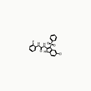 O=C(Nc1ccccc1F)Nc1[nH]c2ccc(Cl)cc2c1S(=O)(=O)c1ccccc1